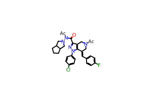 CC(=O)N1CC(=Cc2ccc(F)cc2)c2c(c(C(=O)N(C(C)=O)N3CC4CCCC4C3)nn2-c2ccc(Cl)cc2)C1